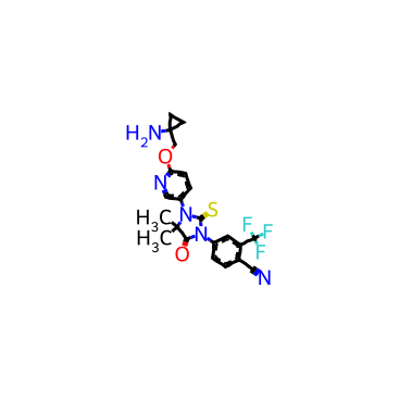 CC1(C)C(=O)N(c2ccc(C#N)c(C(F)(F)F)c2)C(=S)N1c1ccc(OCC2(N)CC2)nc1